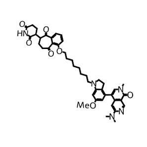 COc1cc(-c2cn(C)c(=O)c3cnc(N(C)C)cc23)c2c(c1)N(CCCCCCCCOc1cccc3c1C(=O)CCC(C1CCC(=O)NC1=O)C3=O)CC2